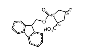 O=C(O)[C@@H]1C[C@H](F)CN1C(=O)OCC1c2ccccc2-c2ccccc21